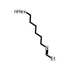 CCC=NCCCCCCCCCCCC